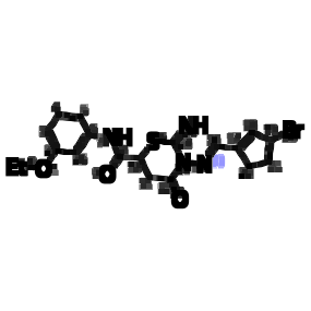 CCOc1cccc(NC(=O)C2CC(=O)N(/N=C/C3=CC(Br)=CC3)C(=N)S2)c1